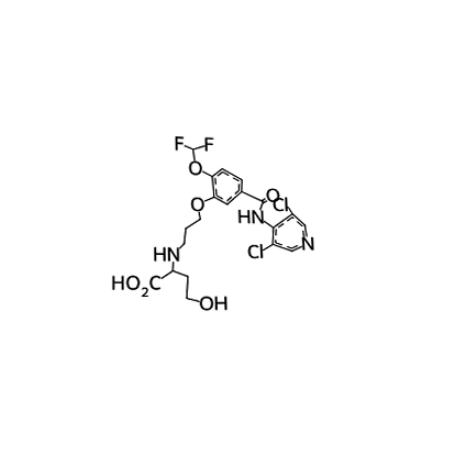 O=C(Nc1c(Cl)cncc1Cl)c1ccc(OC(F)F)c(OCCCNC(CCO)C(=O)O)c1